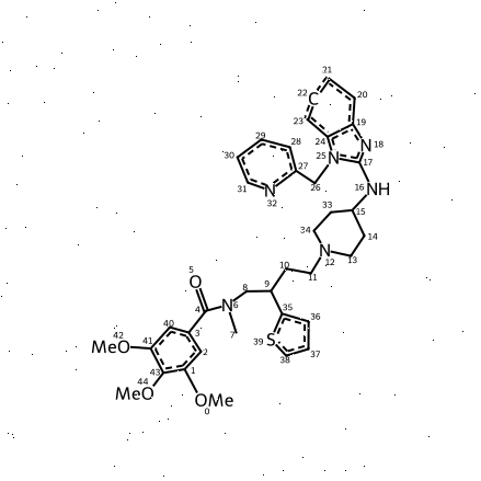 COc1cc(C(=O)N(C)CC(CCN2CCC(Nc3nc4ccccc4n3Cc3ccccn3)CC2)c2cccs2)cc(OC)c1OC